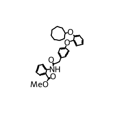 COC(=O)c1ccccc1NC(=O)Cc1ccc(Oc2ccccc2OC2CCCCCCC2)cc1